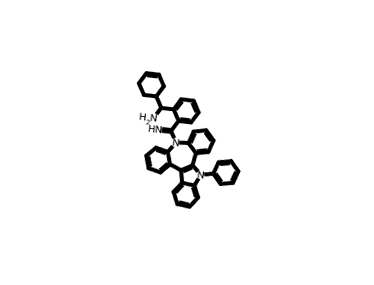 N=C(c1ccccc1C(N)C1CC=CCC1)N1c2ccccc2-c2c(n(-c3ccccc3)c3ccccc23)-c2ccccc21